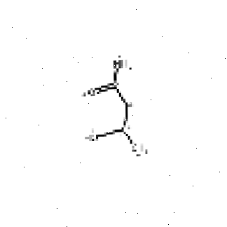 [CH2-][C+](O)CC(N)=O